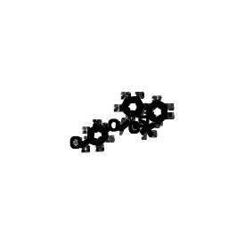 CC(C)(C)[Si](OCCOc1ccc(C=O)cc1)(c1ccccc1)c1ccccc1